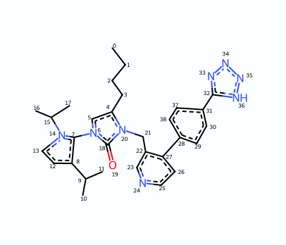 CCCCc1cn(-c2c(C(C)C)ccn2C(C)C)c(=O)n1Cc1cnccc1-c1ccc(-c2nnn[nH]2)cc1